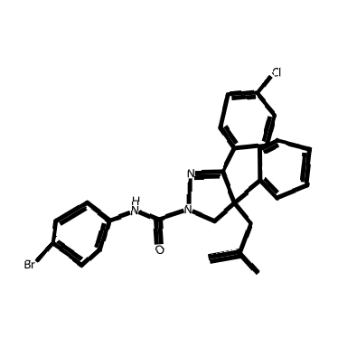 C=C(C)CC1(c2ccccc2)CN(C(=O)Nc2ccc(Br)cc2)N=C1c1ccc(Cl)cc1